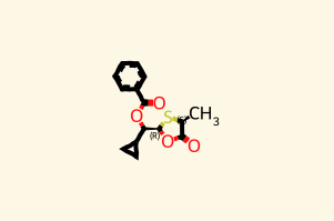 C[C@@H]1S[C@H](C(OC(=O)c2ccccc2)C2CC2)OC1=O